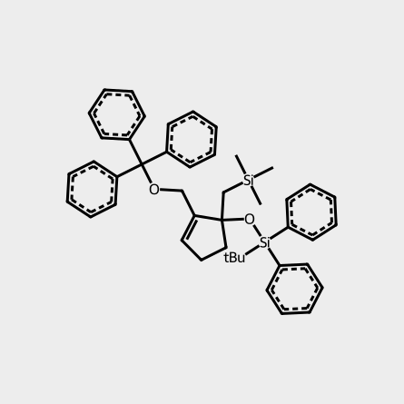 CC(C)(C)[Si](OC1(C[Si](C)(C)C)CCC=C1COC(c1ccccc1)(c1ccccc1)c1ccccc1)(c1ccccc1)c1ccccc1